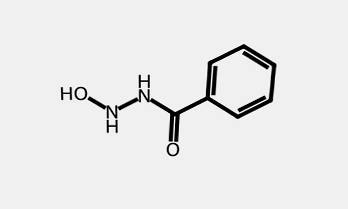 O=C(NNO)c1ccccc1